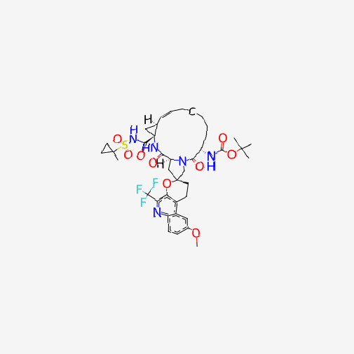 COc1ccc2nc(C(F)(F)F)c3c(c2c1)CC[C@]1(C[C@H]2C(=O)N[C@]4(C(=O)NS(=O)(=O)C5(C)CC5)C[C@H]4/C=C\CCCCC[C@H](NC(=O)OC(C)(C)C)C(=O)N2C1)O3